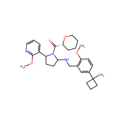 COc1ccc(C2(C)CCC2)cc1CNC1CCC(c2cccnc2OC)N1C(=O)[C@H]1CCCCO1